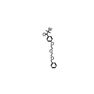 CC(C)(Br)C(=O)c1ccc(OCCOCCOCc2ccccc2)cc1